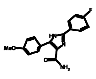 COc1ccc(-c2[nH]c(-c3ccc(F)cc3)nc2C(N)=O)cc1